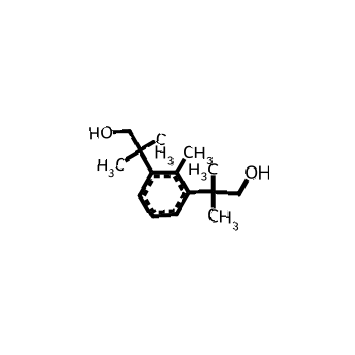 Cc1c(C(C)(C)CO)cccc1C(C)(C)CO